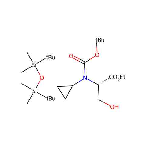 CC(C)(C)[Si](C)(C)O[Si](C)(C)C(C)(C)C.CCOC(=O)[C@H](CO)N(C(=O)OC(C)(C)C)C1CC1